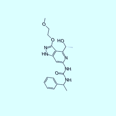 COCCOc1n[nH]c2cc(NC(=O)NC(C)c3ccccc3)nc([C@@H](C)O)c12